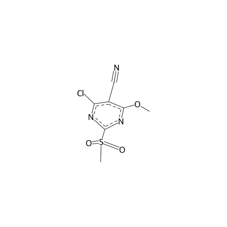 COc1nc(S(C)(=O)=O)nc(Cl)c1C#N